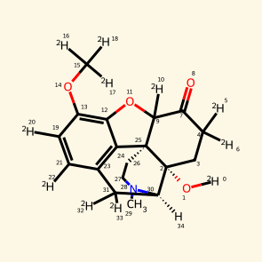 [2H]O[C@@]12CC([2H])([2H])C(=O)C3([2H])Oc4c(OC([2H])([2H])[2H])c([2H])c([2H])c5c4[C@@]31CCN(C)[C@@H]2C5([2H])[2H]